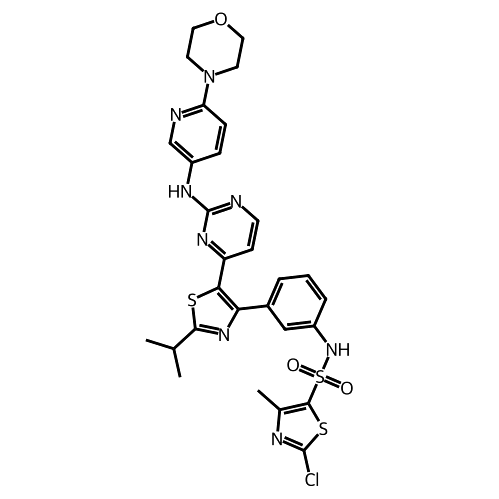 Cc1nc(Cl)sc1S(=O)(=O)Nc1cccc(-c2nc(C(C)C)sc2-c2ccnc(Nc3ccc(N4CCOCC4)nc3)n2)c1